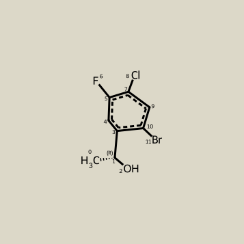 C[C@@H](O)c1cc(F)c(Cl)cc1Br